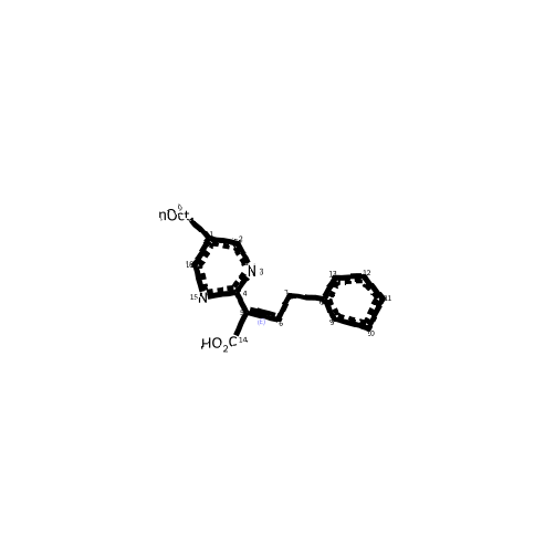 CCCCCCCCc1cnc(/C(=C\Cc2ccccc2)C(=O)O)nc1